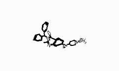 BN1CCC(N(C)c2ccc3c(=O)n(C(c4ccccc4)c4ccccc4)c(C)nc3c2)CC1